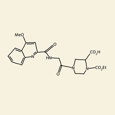 CCOC(=O)N1CCN(C(=O)CNC(=O)c2cc(OC)c3ccccc3n2)CC1C(=O)O